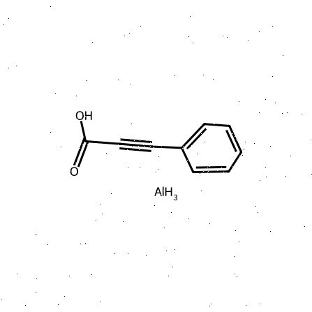 O=C(O)C#Cc1ccccc1.[AlH3]